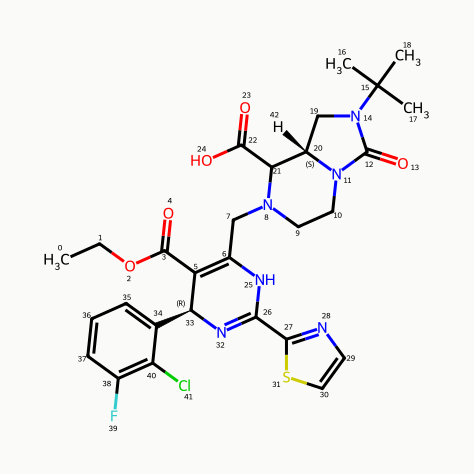 CCOC(=O)C1=C(CN2CCN3C(=O)N(C(C)(C)C)C[C@H]3C2C(=O)O)NC(c2nccs2)=N[C@H]1c1cccc(F)c1Cl